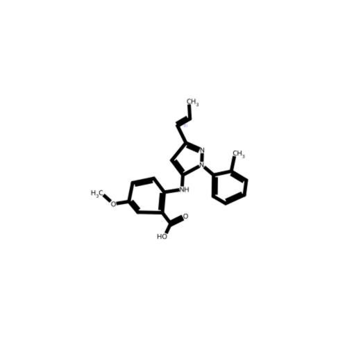 C/C=C/c1cc(Nc2ccc(OC)cc2C(=O)O)n(-c2ccccc2C)n1